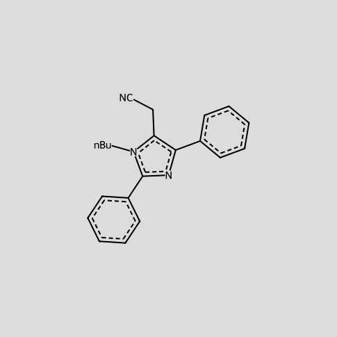 CCCCn1c(-c2ccccc2)nc(-c2ccccc2)c1CC#N